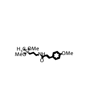 COc1ccc(C=CC(=O)NCCC[Si](C)(OC)OC)cc1